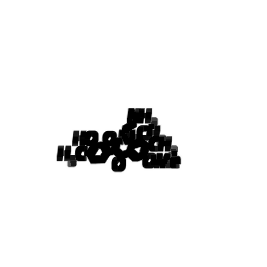 COc1cc(C(=O)c2c(NCCN)oc3c(O)c(C)ccc23)cc(C)c1C